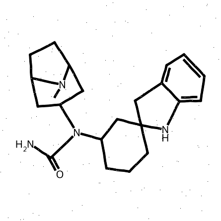 CN1C2CCC1CC(N(C(N)=O)C1CCCC3(Cc4ccccc4N3)C1)C2